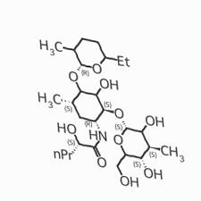 CCC[C@H](O)C(=O)N[C@@H]1C[C@H](C)C(O[C@H]2OC(CC)CCC2C)C(O)[C@H]1O[C@H]1OC(CO)[C@@H](O)[C@H](C)C1O